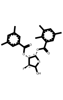 Cc1cc(C)cc(C(=O)O[C@@H]2[C@H](OC(=O)c3cc(C)cc(C)c3C)SC(O)[C@H]2F)c1